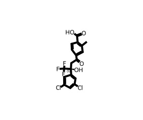 Cc1cc(C(=O)C[C@](O)(c2cc(Cl)cc(Cl)c2)C(F)(F)F)ccc1C(=O)O